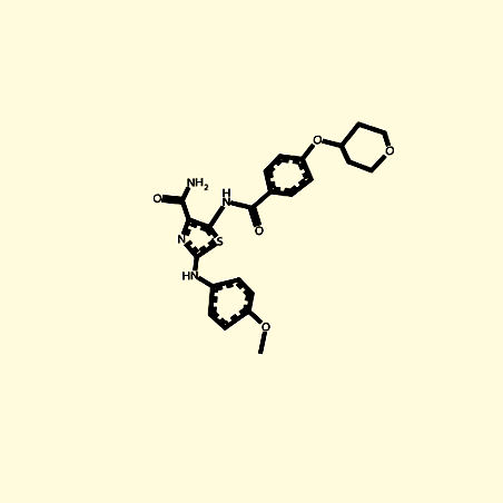 COc1ccc(Nc2nc(C(N)=O)c(NC(=O)c3ccc(OC4CCOCC4)cc3)s2)cc1